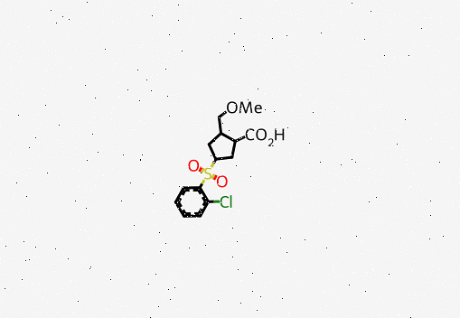 COCC1CC(S(=O)(=O)c2ccccc2Cl)CC1C(=O)O